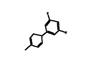 CC1=CCC(c2cc(F)cc(F)c2)C=C1